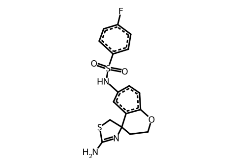 NC1=NC2(CCOc3ccc(NS(=O)(=O)c4ccc(F)cc4)cc32)CS1